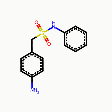 Nc1ccc(CS(=O)(=O)Nc2ccccc2)cc1